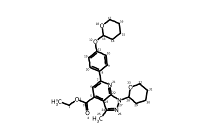 CCOC(=O)c1cc(-c2ccc(OC3CCCCO3)cc2)nc2c1c(C)nn2C1CCCCO1